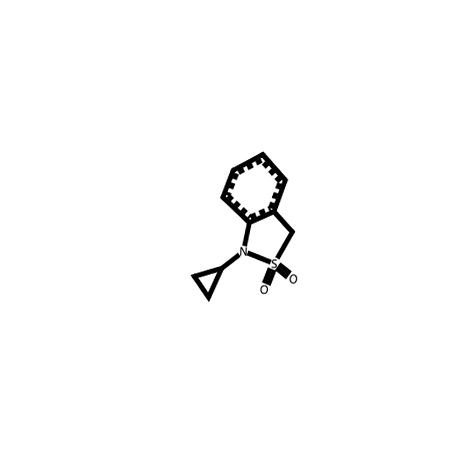 O=S1(=O)Cc2ccccc2N1C1CC1